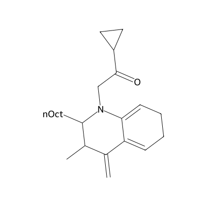 C=C1C2=CCCC=C2N(CC(=O)C2CC2)C(CCCCCCCC)C1C